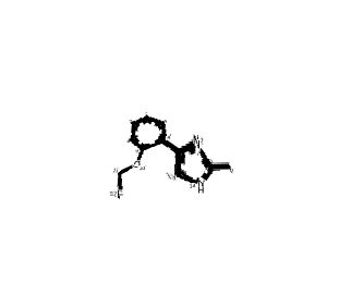 Cc1nc(-c2ccccc2OCF)c[nH]1